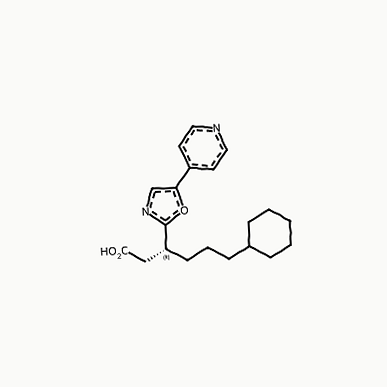 O=C(O)C[C@@H](CCCC1CCCCC1)c1ncc(-c2ccncc2)o1